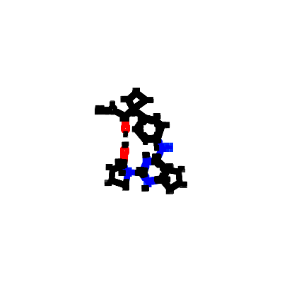 COC(=O)C1(c2ccc(Nc3nc(N4CCCC4=O)nc4c3CCC4)cc2)CCC1